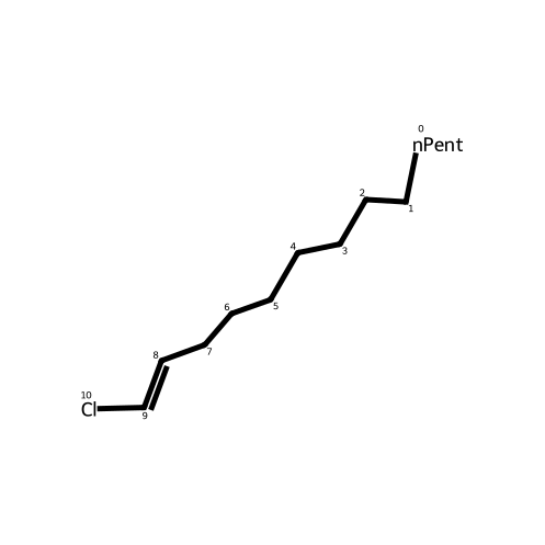 CCCCCCCCCCCCC=CCl